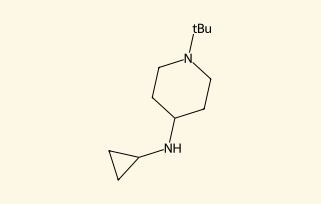 CC(C)(C)N1CCC(NC2CC2)CC1